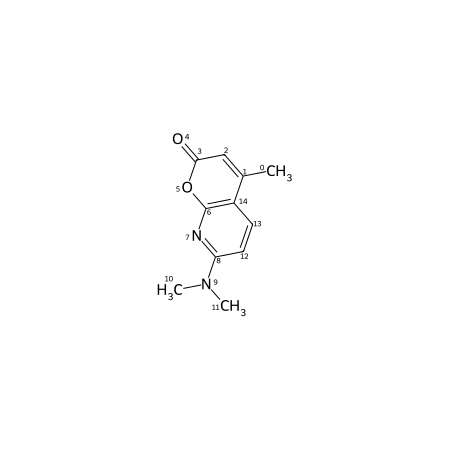 Cc1cc(=O)oc2nc(N(C)C)ccc12